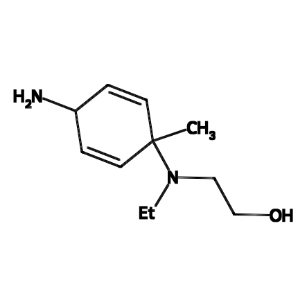 CCN(CCO)C1(C)C=CC(N)C=C1